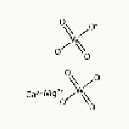 [Ca+2].[Mg+2].[O]=[W](=[O])([O-])[O-].[O]=[W](=[O])([O-])[O-]